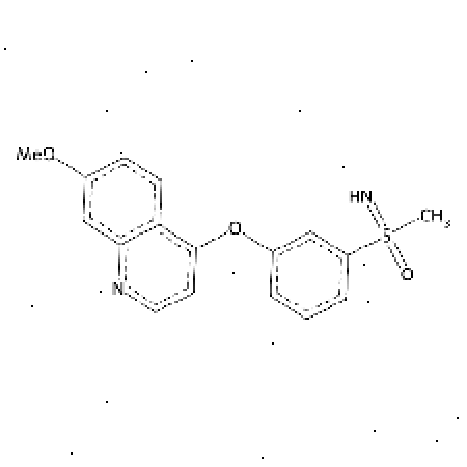 COc1ccc2c(Oc3cccc(S(C)(=N)=O)c3)ccnc2c1